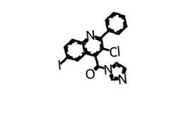 O=C(c1c(Cl)c(-c2ccccc2)nc2ccc(I)cc12)n1ccnc1